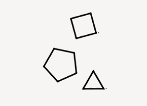 C1CCCC1.[CH]1CC1.[CH]1CCC1